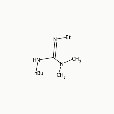 CCCCNC(=NCC)N(C)C